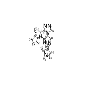 CCC1c2nncn2-c2cnc(-n3cc[n+](C)c3C)nc2N1C1CCCC1